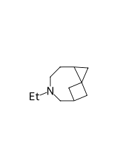 CCN1CCC2CC23CC(C1)C3